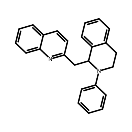 c1ccc(N2CCc3ccccc3C2Cc2ccc3ccccc3n2)cc1